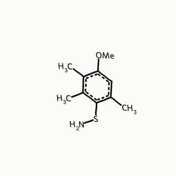 COc1cc(C)c(SN)c(C)c1C